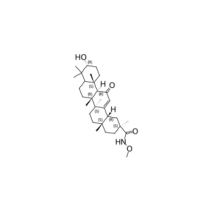 CONC(=O)[C@@]1(C)CC[C@]2(C)CC[C@]3(C)C(=CC(=O)[C@@H]4[C@@]5(C)CC[C@@H](O)C(C)(C)C5CC[C@]43C)[C@@H]2C1